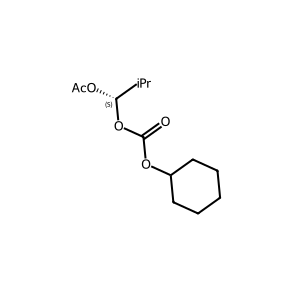 CC(=O)O[C@@H](OC(=O)OC1CCCCC1)C(C)C